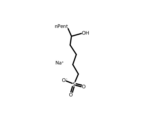 CCCCCC(O)CCCCS(=O)(=O)[O-].[Na+]